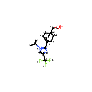 CC(C)n1cc(C(F)(F)F)nc1C12CCC(CO)(CC1)CC2